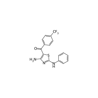 Nc1nc(Nc2ccccc2)sc1C(=O)c1ccc(C(F)(F)F)cc1